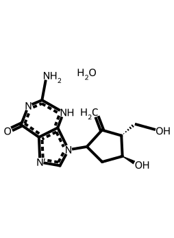 C=C1C(n2cnc3c(=O)nc(N)[nH]c32)C[C@H](O)[C@H]1CO.O